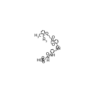 Cc1cccc(OCCCC(=O)N2CCOc3c(-c4cnn(Cc5cccc(NC(=O)NCCS(=O)(=O)O)c5)c4)cccc32)c1C